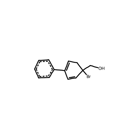 OCC1(Br)C=CC(c2ccccc2)=CC1